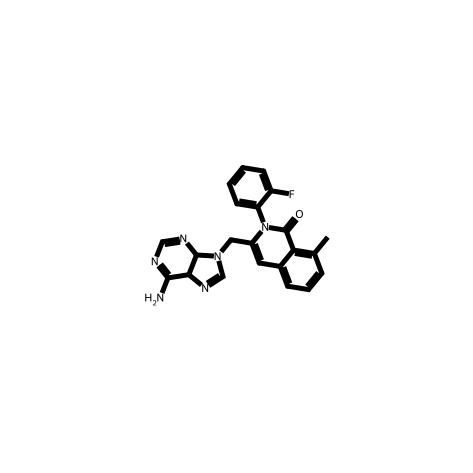 Cc1cccc2cc(CN3C=NC4C(N)=NC=NC43)n(-c3ccccc3F)c(=O)c12